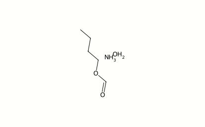 CCCCOC=O.N.O